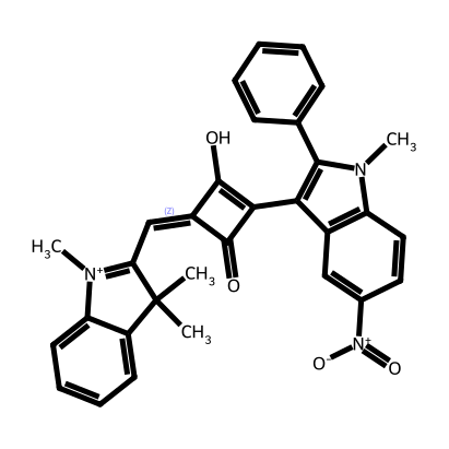 Cn1c(-c2ccccc2)c(C2=C(O)/C(=C/C3=[N+](C)c4ccccc4C3(C)C)C2=O)c2cc([N+](=O)[O-])ccc21